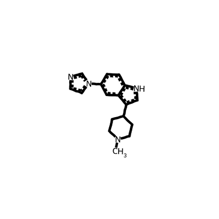 CN1CCC(c2c[nH]c3ccc(-n4ccnc4)cc23)CC1